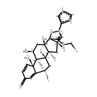 C[C@]12C=CC(=O)C=C1[C@@H](F)C[C@H]1[C@@H]3C[C@H]4CN(c5cscn5)O[C@@]4(C(=O)SCF)[C@@]3(C)C[C@H](O)[C@@]12F